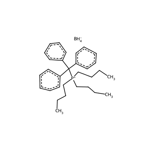 CCCC[P+](CCCC)(CCCC)C(c1ccccc1)(c1ccccc1)c1ccccc1.[BH4-]